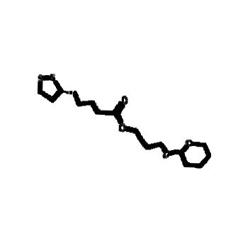 O=C(CCCC[C@@H]1CCSS1)OCCCOC1CCCCO1